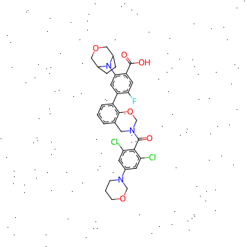 O=C(O)c1cc(F)c(-c2cccc3c2OCN(C(=O)c2c(Cl)cc(N4CCCOC4)cc2Cl)C3)cc1N1C2CCC1COC2